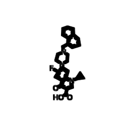 O=C(O)c1cn(C2CC2)c2cc(N3CCN(Cc4cccc5ccccc45)CC3)c(F)cc2c1=O